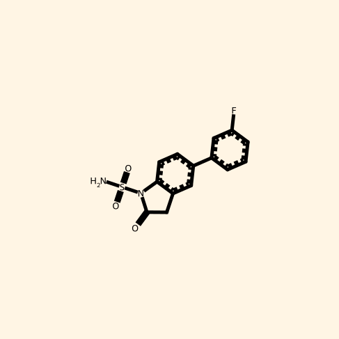 NS(=O)(=O)N1C(=O)Cc2cc(-c3cccc(F)c3)ccc21